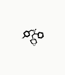 [CH2]c1ccc(CN(C)C(CN2CCOCC2)c2ccccc2)cc1